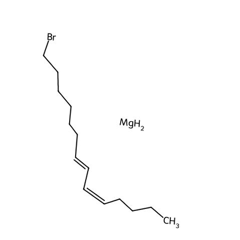 CCCC/C=C\C=C\CCCCCCBr.[MgH2]